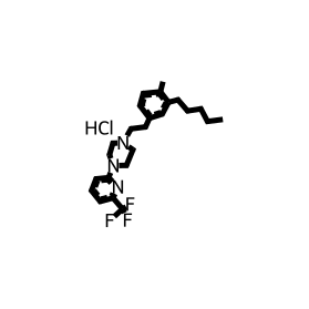 CCCCCc1cc(CCN2CCN(c3cccc(C(F)(F)F)n3)CC2)ccc1C.Cl